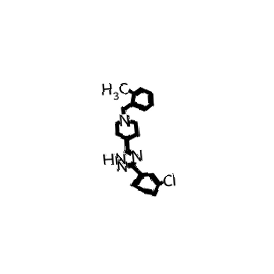 Cc1ccccc1CN1CCC(c2nc(-c3cccc(Cl)c3)n[nH]2)CC1